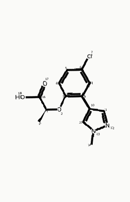 C[C@H](Oc1ccc(Cl)cc1-c1cnn(C)c1)C(=O)O